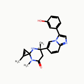 CC1=CC12N[C@](C)(c1ccc3ncc(-c4cccc(O)c4)n3c1)CC(=O)N2C